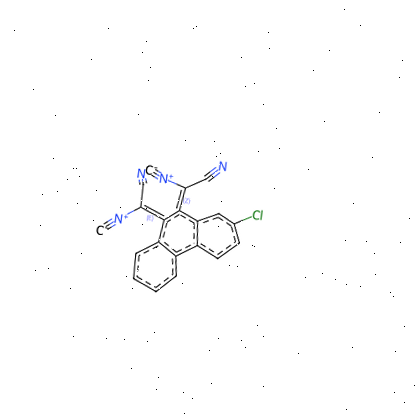 [C-]#[N+]/C(C#N)=c1\c(=C(/C#N)[N+]#[C-])c2ccccc2c2ccc(Cl)cc12